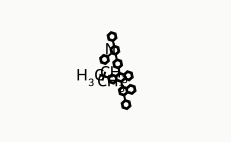 CC(C)(C)c1ccc2c(-c3ccc(-c4ccccc4)c4ccccc34)c3ccccc3c(-c3ccc(-c4ccc(-c5ccccc5)nc4-c4ccccc4)cc3)c2c1